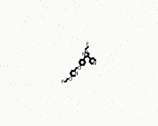 FCCOc1ccc(COc2ccc(-c3nn(CCF)cc3-c3ccncc3)cc2)nc1